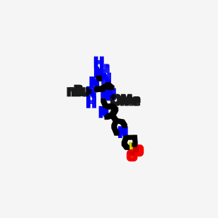 CCCCNc1nc(N)nc2cnn(Cc3ncc(C4CCN(C5CCS(=O)(=O)CC5)CC4)cc3OC)c12